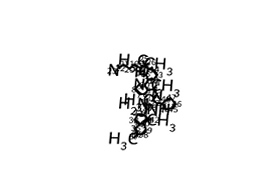 C/C(=N\C(C)C1CC=CNC1C1=CC=CC2C1C=C(CCCC#N)C2(C)C)C(NC(N)c1ccc2cc(C)ccc2c1C)c1ccccc1